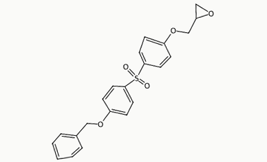 O=S(=O)(c1ccc(OCc2ccccc2)cc1)c1ccc(OCC2CO2)cc1